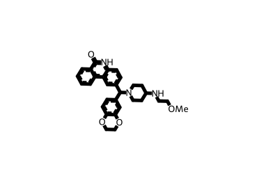 COCCNC1CCN(C(c2ccc3c(c2)OCCO3)c2ccc3[nH]c(=O)c4ccccc4c3c2)CC1